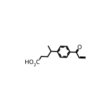 C=CC(=O)c1ccc(C(C)CCC(=O)O)cc1